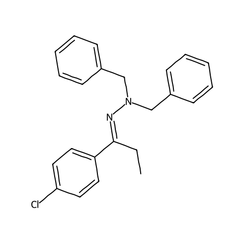 CCC(=NN(Cc1ccccc1)Cc1ccccc1)c1ccc(Cl)cc1